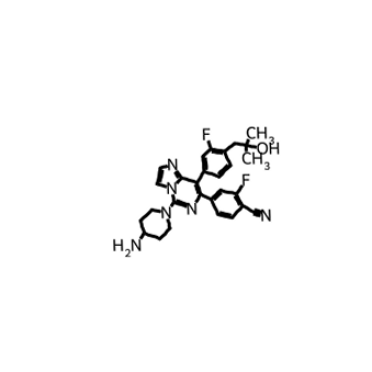 CC(C)(O)Cc1ccc(-c2c(-c3ccc(C#N)c(F)c3)nc(N3CCC(N)CC3)n3ccnc23)cc1F